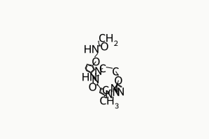 C=CC(=O)NCCOc1cccc2c1N1CCCCCOc3cnnn3-c3cc(cc(C)n3)C(=O)/N=C/1N2